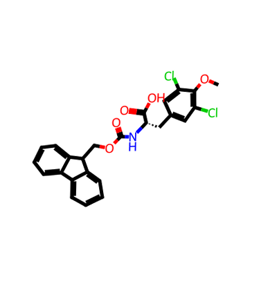 COc1c(Cl)cc(C[C@H](NC(=O)OCC2c3ccccc3-c3ccccc32)C(=O)O)cc1Cl